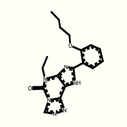 CCCCOc1ccccc1-c1nc2c([nH]1)c1nncn1c(=O)n2CC